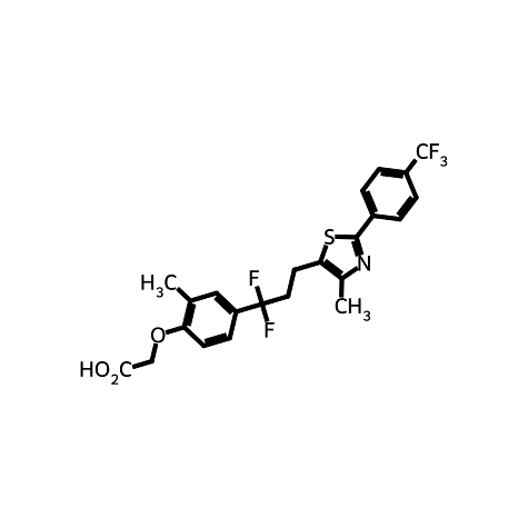 Cc1cc(C(F)(F)CCc2sc(-c3ccc(C(F)(F)F)cc3)nc2C)ccc1OCC(=O)O